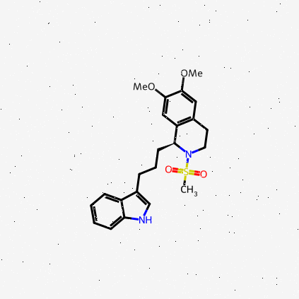 COc1cc2c(cc1OC)[C@H](CCCc1c[nH]c3ccccc13)N(S(C)(=O)=O)CC2